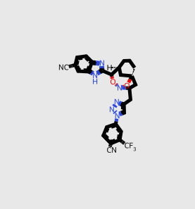 N#Cc1ccc2nc(C3ON4O[C@]5(CCC[C@H]3C5)CC4Cc3cn(-c4ccc(C#N)c(C(F)(F)F)c4)nn3)[nH]c2c1